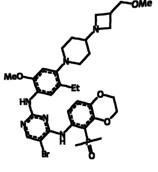 CCc1cc(Nc2ncc(Br)c(Nc3ccc4c(c3P(C)(C)=O)OCCO4)n2)c(OC)cc1N1CCC(N2CC(COC)C2)CC1